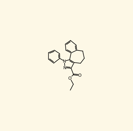 CCOC(=O)c1nn(-c2ccccc2)c2c1CCCc1ccccc1-2